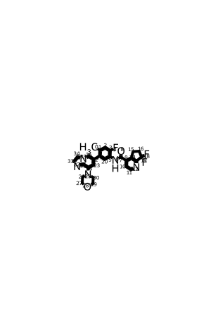 Cc1cc(F)c(NC(=O)c2ccnc3c2CCC3(F)F)cc1-c1cc(N2CCOCC2)c2nccn2c1